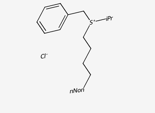 CCCCCCCCCCCCC[S+](Cc1ccccc1)C(C)C.[Cl-]